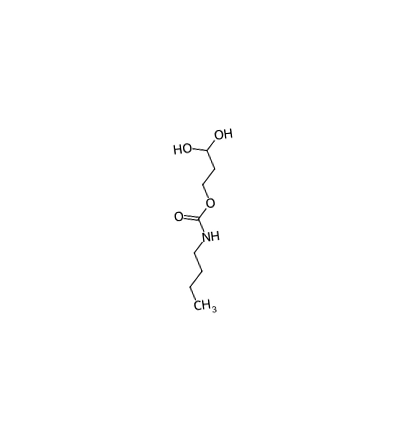 CCCCNC(=O)OCCC(O)O